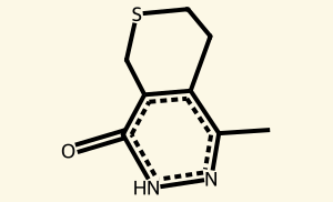 Cc1n[nH]c(=O)c2c1CCSC2